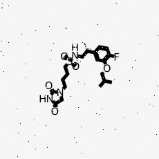 CC(C)COc1cc([C@@H](C)CNS(=O)(=O)CCCCN2CC(=O)NC2=O)ccc1F